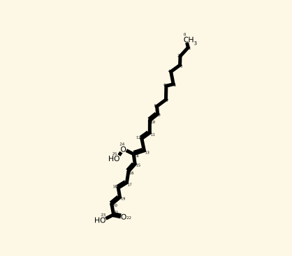 CCCCCCCCCC=CC=CC=C(C=CC=CC=CC(=O)O)OO